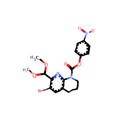 COC(OC)c1nc2c(cc1Br)CCCN2C(=O)Oc1ccc([N+](=O)[O-])cc1